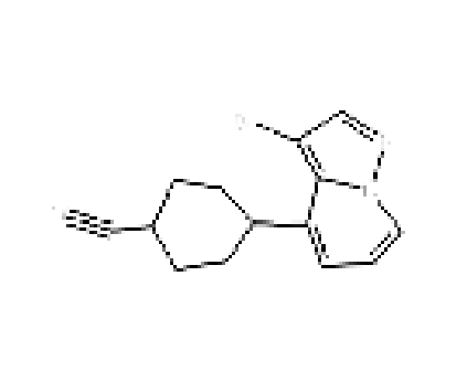 N#CC1CCC(c2cccn3ncc(Br)c23)CC1